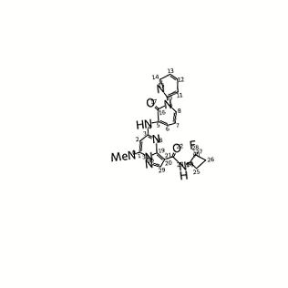 CNc1cc(Nc2cccn(-c3ccccn3)c2=O)nc2c(C(=O)N[C@@H]3CC[C@H]3F)cnn12